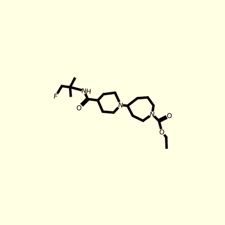 CCOC(=O)N1CCCC(N2CCC(C(=O)NC(C)(C)CF)CC2)CC1